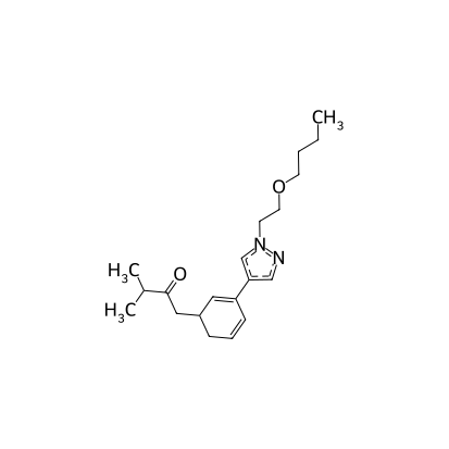 CCCCOCCn1cc(C2=CC(CC(=O)C(C)C)CC=C2)cn1